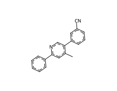 Cc1cc(-c2ccccc2)ncc1-c1cccc(C#N)c1